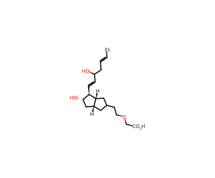 CC/C=C/CC(O)C=C[C@H]1[C@@H]2CC(CCOCC(=O)O)C[C@@H]2C[C@@H]1O